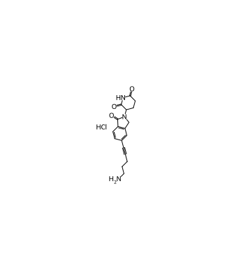 Cl.NCCCC#Cc1ccc2c(c1)CN(C1CCC(=O)NC1=O)C2=O